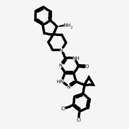 N[C@@H]1c2ccccc2CC12CCN(c1nc3[nH]nc(C4(c5ccc(Cl)c(Cl)c5)CC4)c3c(=O)[nH]1)CC2